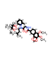 COc1c2c(c3c(c1OC)OCO3)CC(C(=O)N[C@@H](Cc1ccccc1)C(=O)NC(CC(C)C)B1OC(C)(C)C(C)(C)O1)CC2